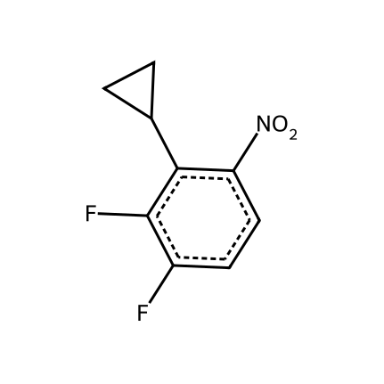 O=[N+]([O-])c1ccc(F)c(F)c1C1CC1